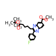 COC(=O)c1ccc2nc(-c3ccc(F)cc3)c(CCCCC(=O)OC(C)(C)C)nc2c1